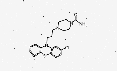 NC(=O)N1CCN(CCCN2c3ccccc3Sc3ccc(Cl)cc32)CC1